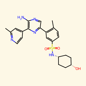 Cc1cc(-c2nc(-c3cc(S(=O)(=O)N[C@H]4CC[C@@H](O)CC4)ccc3C)cnc2N)ccn1